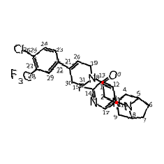 O=C(CN1CC2CCC(C1)N2c1ccc(F)nc1)N1CC=C(c2ccc(Cl)c(C(F)(F)F)c2)CC1